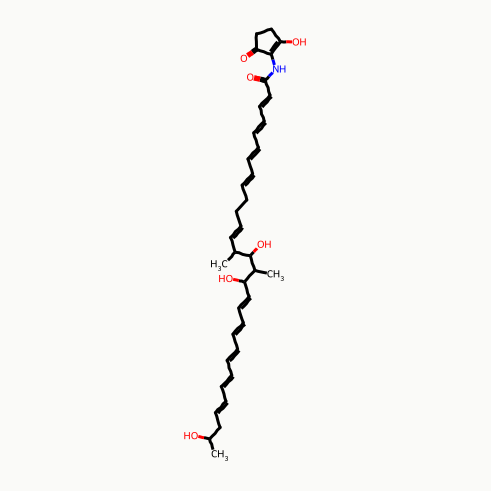 CC(O)C/C=C/C=C/C=C/C=C/C=C/C(O)C(C)C(O)C(C)/C=C/CC/C=C/C=C/C=C/C=C/C(=O)NC1=C(O)CCC1=O